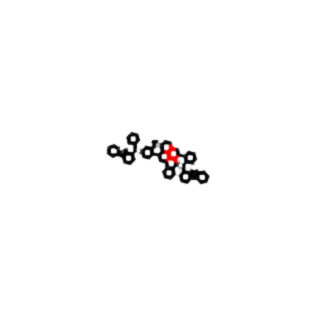 C[Si]1(C)c2cc(N(c3ccccc3)c3cccc4c3oc3ccccc34)ccc2-c2cc3c4ccccc4c(N(c4ccccc4-c4ccccc4)c4cccc5c4oc4ccccc45)cc3c3cccc1c23